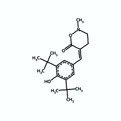 CN1CCC(=Cc2cc(C(C)(C)C)c(O)c(C(C)(C)C)c2)C(=O)O1